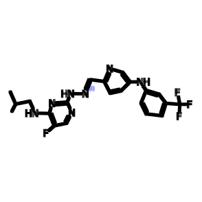 CC(C)CNc1nc(N/N=C/c2ccc(Nc3cccc(C(F)(F)F)c3)cn2)ncc1F